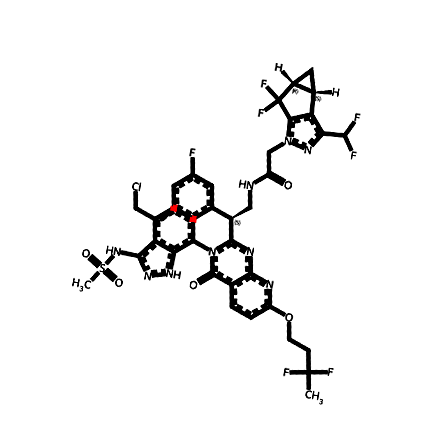 CC(F)(F)CCOc1ccc2c(=O)n(-c3ccc(CCl)c4c(NS(C)(=O)=O)n[nH]c34)c([C@H](CNC(=O)Cn3nc(C(F)F)c4c3C(F)(F)[C@@H]3C[C@H]43)c3cc(F)cc(F)c3)nc2n1